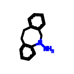 NN1Cc2ccccc2CCc2ccccc21